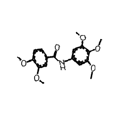 COc1ccc(C(=O)Nc2cc(OC)c(OC)c(OC)c2)cc1OC